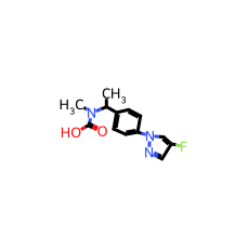 CC(c1ccc(-n2cc(F)cn2)cc1)N(C)C(=O)O